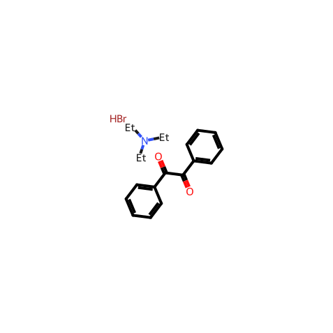 Br.CCN(CC)CC.O=C(C(=O)c1ccccc1)c1ccccc1